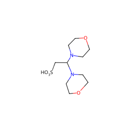 O=S(=O)(O)CC(N1CCOCC1)N1CCOCC1